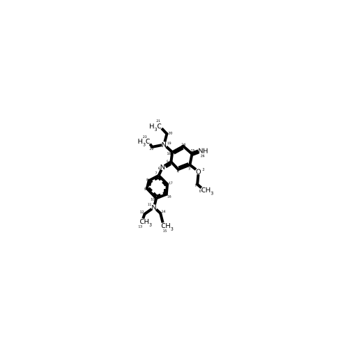 CCOC1=C/C(=N\c2ccc(N(CC)CC)cc2)C(N(CC)CC)=CC1=N